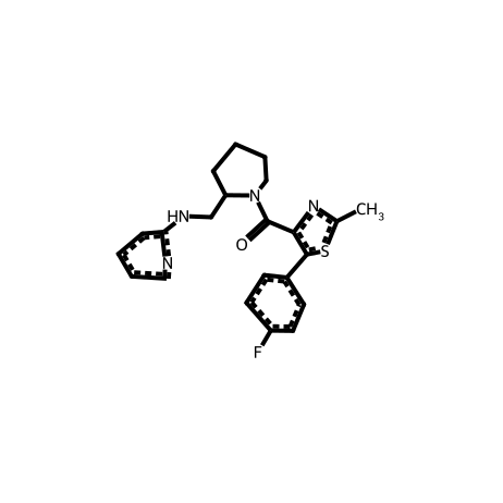 Cc1nc(C(=O)N2CCCCC2CNc2ccccn2)c(-c2ccc(F)cc2)s1